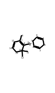 C1=CCC=CC1.CC1=[C]([Ir])C(C)(C)CC=C1